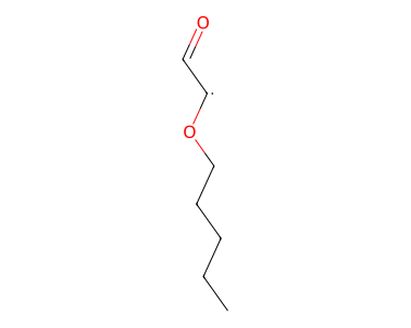 CCCCCO[CH]C=O